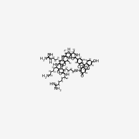 CC(CCCCC(=N)N)NC(=O)[C@H](CCCCN)NC(=O)C(CCCCN)NC(=O)[C@H](CCCNC(=N)N)NC(=O)C(C)NC(=O)[C@H](C)NC(=O)C(C)NC(=O)c1ccc(-c2c3ccc(=O)cc-3oc3cc(O)ccc23)c(C(=O)O)c1